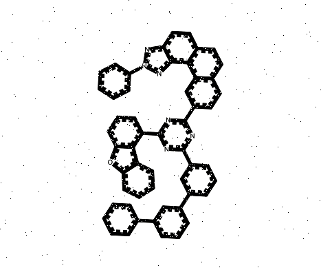 c1ccc(-c2cccc(-c3cccc(-c4nc(-c5ccc6ccc7ccc8nn(-c9ccccc9)nc8c7c6c5)nc(-c5cccc6oc7ccccc7c56)n4)c3)c2)cc1